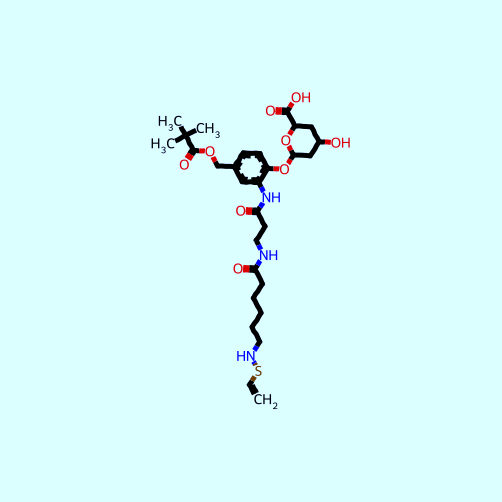 C=CSNCCCCCC(=O)NCCC(=O)Nc1cc(COC(=O)C(C)(C)C)ccc1OC1CC(O)CC(C(=O)O)O1